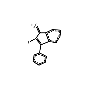 C=C1C(F)=C(c2ccccc2)c2ccccc21